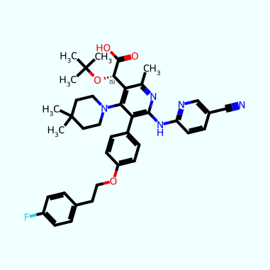 Cc1nc(Nc2ccc(C#N)cn2)c(-c2ccc(OCCc3ccc(F)cc3)cc2)c(N2CCC(C)(C)CC2)c1[C@H](OC(C)(C)C)C(=O)O